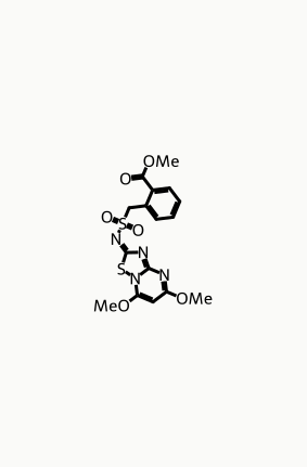 COC(=O)c1ccccc1CS(=O)(=O)N=c1nc2nc(OC)cc(OC)n2s1